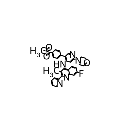 Cc1c(-c2ccccn2)nc2cc(F)ccc2c1Nc1cc(N2CCOCC2)ncc1-c1ccc(S(C)(=O)=O)cc1